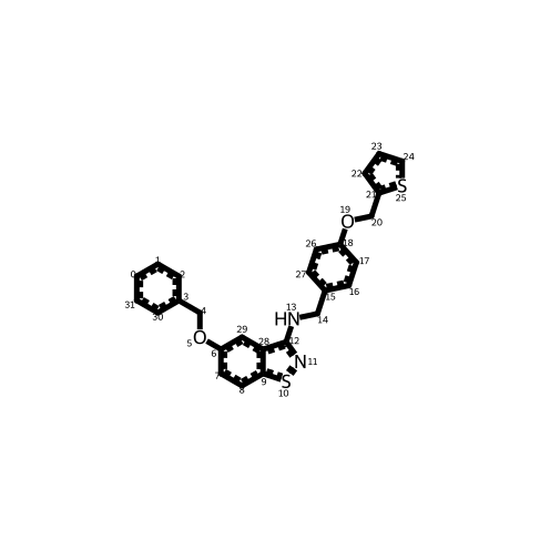 c1ccc(COc2ccc3snc(NCc4ccc(OCc5cccs5)cc4)c3c2)cc1